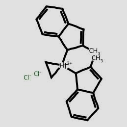 CC1=Cc2ccccc2[CH]1[Hf+2]1([CH]2C(C)=Cc3ccccc32)[CH2][CH2]1.[Cl-].[Cl-]